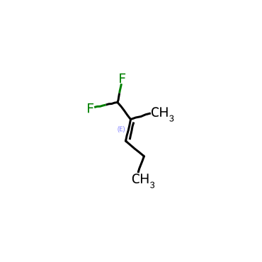 CC/C=C(\C)C(F)F